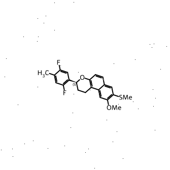 COc1cc2c3c(ccc2cc1SC)O[C@H](c1cc(F)c(C)cc1F)CC3